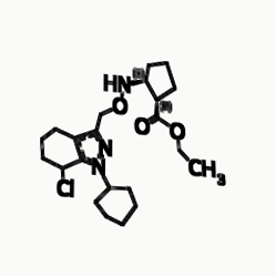 CCOC(=O)[C@@H]1CCC[C@@H]1NOCc1nn(C2CCCCC2)c2c1CCCC2Cl